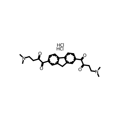 CN(C)CCC(=O)C(=O)c1ccc2c(c1)Cc1cc(C(=O)C(=O)CCN(C)C)ccc1-2.Cl.Cl